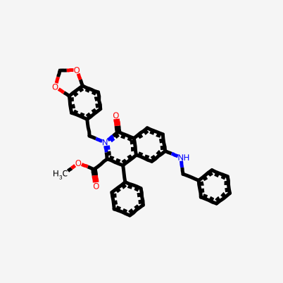 COC(=O)c1c(-c2ccccc2)c2cc(NCc3ccccc3)ccc2c(=O)n1Cc1ccc2c(c1)OCO2